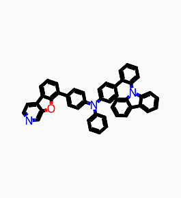 c1ccc(N(c2ccc(-c3ccccc3-n3c4ccccc4c4ccccc43)cc2)c2ccc(-c3cccc4c3oc3cnccc34)cc2)cc1